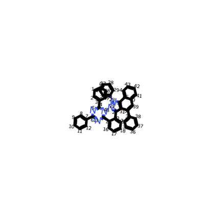 c1ccc(-c2nc(-c3ccccc3)nc(-c3ccccc3-c3nn(-c4ccccc4)c4c3c(-c3ccccc3)cc3ccccc34)n2)cc1